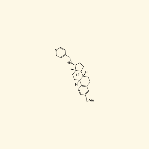 COc1ccc2c(c1)CC[C@@H]1[C@@H]2CC[C@]2(C)[C@@H](NCc3ccncc3)CC[C@@H]12